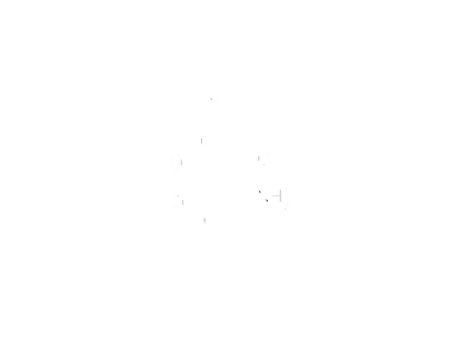 NC=O.O=C(CC(=O)OCc1ccccc1)OCc1ccccc1